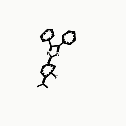 CC(C)=c1ccc(=C2N=C(c3ccccc3)C(c3ccccc3)=N2)cc1F